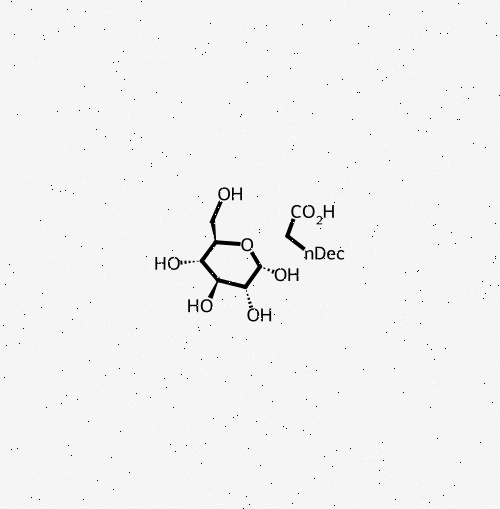 CCCCCCCCCCCC(=O)O.OC[C@H]1O[C@H](O)[C@H](O)[C@@H](O)[C@@H]1O